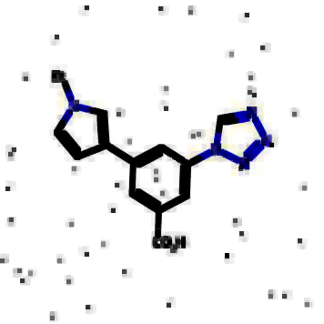 CCn1ccc(-c2cc(C(=O)O)cc(-n3cnnn3)c2)c1